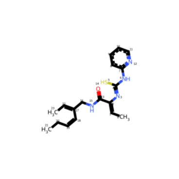 C/C=C(\N=C(/S)Nc1ccccn1)C(=O)NCC(/C=C\CC)=C/C